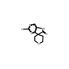 O=C1Nc2cnc(Cl)nc2C12CCOCC2